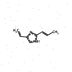 C=Cc1c[nH]c(C=CC)n1